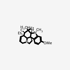 CCC1(O)[C@H](C)[C@]2(CC)C=CCN3CC[C@@]4(c5ccc(OC)cc5N(C)[C@@H]14)C32